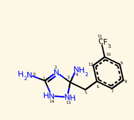 NC1=NC(N)(Cc2cccc(C(F)(F)F)c2)NN1